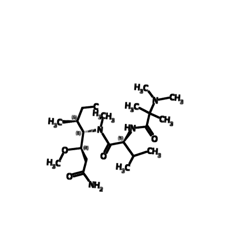 CC[C@H](C)[C@@H]([C@@H](CC(N)=O)OC)N(C)C(=O)[C@@H](NC(=O)C(C)(C)N(C)C)C(C)C